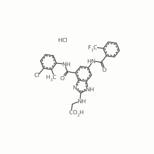 Cc1c(Cl)cccc1NC(=O)c1cc(NC(=O)c2ccccc2C(F)(F)F)cc2[nH]c(NCC(=O)O)nc12.Cl